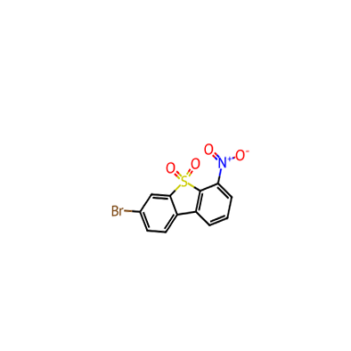 O=[N+]([O-])c1cccc2c1S(=O)(=O)c1cc(Br)ccc1-2